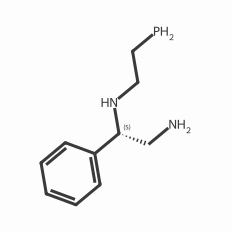 NC[C@@H](NCCP)c1ccccc1